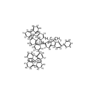 CC1(C)c2cc(-c3ccccc3)ccc2-c2ccc(N(c3cccc(-c4cccc5c4-c4ccccc4C54c5ccccc5-c5ccccc54)c3)c3cccc4c3-c3ccccc3C43c4ccccc4-c4ccccc43)cc21